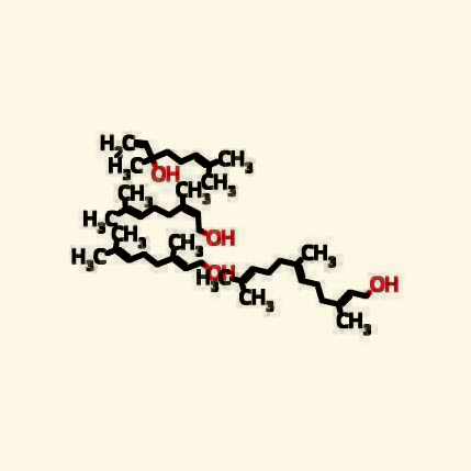 C=CC(C)(O)CCC=C(C)C.CC(C)=CCC/C(C)=C/CO.CC(C)=CCC/C(C)=C\CO.CC(C)=CCCC(C)=CCCC(C)=CCO